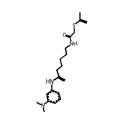 C=C(CCCCCNC(=O)CSC(=C)C)Nc1cccc(N(C)C)c1